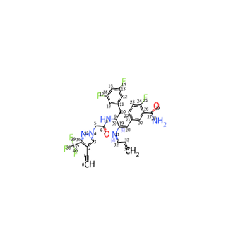 C#Cc1cn(CC(=O)N[C@@H](Cc2cc(F)cc(F)c2)C(=C\c2ccc(F)c(C(N)=O)c2)/N=C\C=C)nc1C(F)(F)F